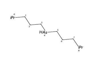 CC(C)CCC[AsH]CCCC(C)C